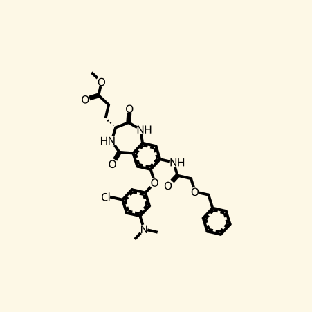 COC(=O)CC[C@H]1NC(=O)c2cc(Oc3cc(Cl)cc(N(C)C)c3)c(NC(=O)COCc3ccccc3)cc2NC1=O